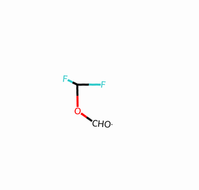 O=[C]OC(F)F